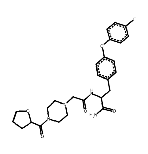 NC(=O)C(Cc1ccc(Oc2ccc(F)cc2)cc1)NC(=O)CN1CCN(C(=O)C2CCCO2)CC1